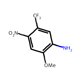 COc1cc([N+](=O)[O-])c(C(F)(F)F)cc1N